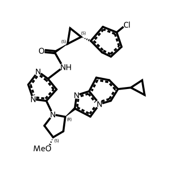 CO[C@H]1C[C@H](c2cn3cc(C4CC4)ccc3n2)N(c2cc(NC(=O)[C@H]3C[C@@H]3c3cccc(Cl)c3)ncn2)C1